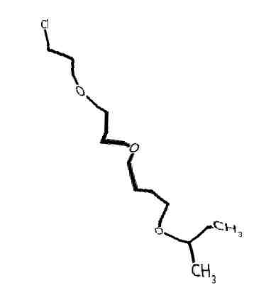 CC(C)OCCOCCOCCCl